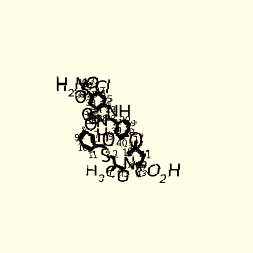 CC(CSC(=O)c1ccccc1)C(=O)N1CC(Oc2ccc(C3Nc4cc(Cl)c(S(N)(=O)=O)cc4S(=O)(=O)N3)cc2)C[C@H]1C(=O)O